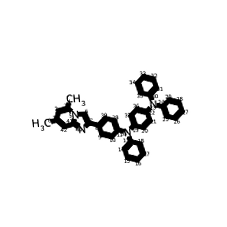 Cc1cc(C)n2cc(-c3ccc(N(c4ccccc4)c4ccc(N(c5ccccc5)c5ccccc5)cc4)cc3)nc2c1